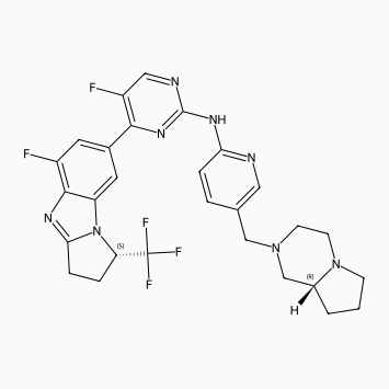 Fc1cnc(Nc2ccc(CN3CCN4CCC[C@@H]4C3)cn2)nc1-c1cc(F)c2nc3n(c2c1)[C@H](C(F)(F)F)CC3